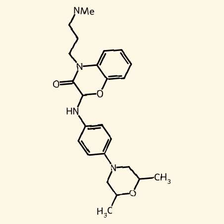 CNCCCN1C(=O)C(Nc2ccc(N3CC(C)OC(C)C3)cc2)Oc2ccccc21